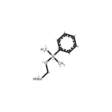 CCCCCCCO[Si](C)(C)c1ccccc1